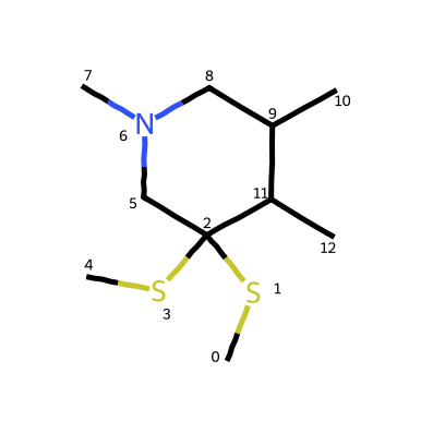 CSC1(SC)CN(C)CC(C)C1C